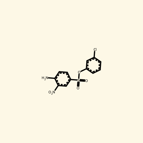 Nc1ccc(S(=O)(=O)Oc2cccc(Cl)c2)cc1[N+](=O)[O-]